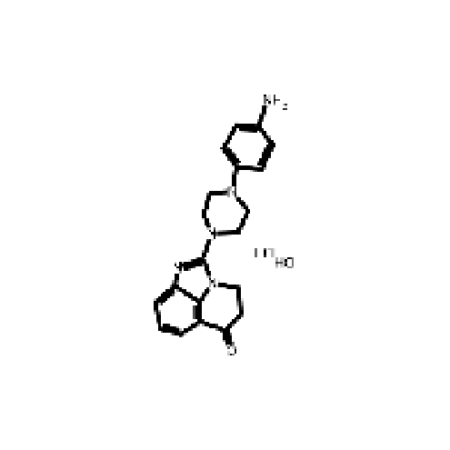 Cl.Cl.Nc1ccc(N2CCN(c3nc4cccc5c4n3CCC5=O)CC2)cc1